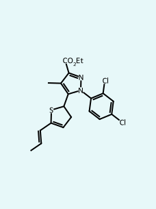 C/C=C/C1=CCC(c2c(C)c(C(=O)OCC)nn2-c2ccc(Cl)cc2Cl)S1